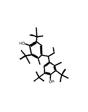 CCC(c1cc(C(C)(C)C)c(O)c(C(C)(C)C)c1C)c1cc(C(C)(C)C)c(O)c(C(C)(C)C)c1C